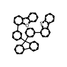 c1cc(-c2cccc3c2oc2ccccc23)cc(C2(c3cccc(-c4cccc5c4sc4ccccc45)c3)c3ccccc3-c3ccccc32)c1